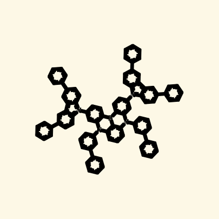 c1ccc(-c2cccc(N3c4cc(-n5c6ccc(-c7ccccc7)cc6c6cc(-c7ccccc7)ccc65)ccc4B4c5ccc(-n6c7ccc(-c8ccccc8)cc7c7cc(-c8ccccc8)ccc76)cc5N(c5cccc(-c6ccccc6)c5)c5cccc3c54)c2)cc1